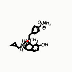 C[C@]12CCN(CC3CC3)[C@H](Cc3ccc(O)cc31)[C@@H]2NCCc1ccc(S(N)(=O)=O)cc1